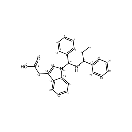 CCC(NC(c1ccccc1)n1cc(CC(=O)O)c2ccccc21)c1ccccc1